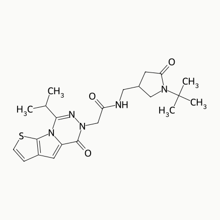 CC(C)c1nn(CC(=O)NCC2CC(=O)N(C(C)(C)C)C2)c(=O)c2cc3ccsc3n12